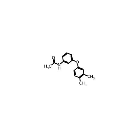 CC(=O)Nc1cccc(Oc2ccc(C)c(C)c2)c1